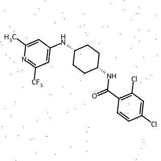 Cc1cc(N[C@H]2CC[C@@H](NC(=O)c3ccc(Cl)cc3Cl)CC2)cc(C(F)(F)F)n1